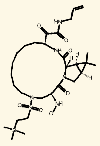 C=CCNC(=O)C(=O)[C@@H]1CCCCCCCN(S(=O)(=O)CC[Si](C)(C)C)C[C@H](NCl)C(=O)N2C[C@H]3[C@@H]([C@H]2C(=O)N1)C3(C)C